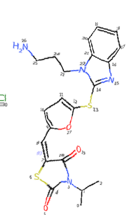 CC(C)N1C(=O)S/C(=C/c2ccc(Sc3nc4ccccc4n3CCCN)o2)C1=O.Cl